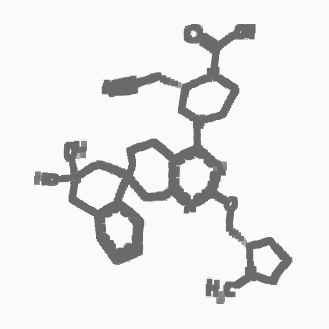 CN1CCC[C@H]1COc1nc2c(c(N3CCN(C(=O)O)[C@@H](CC#N)C3)n1)CCC1(C2)CS(O)(O)Cc2ccccc21